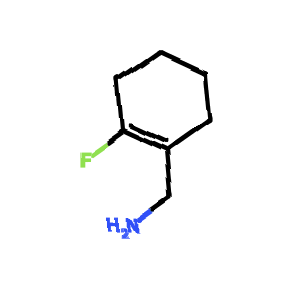 NCC1=C(F)CCCC1